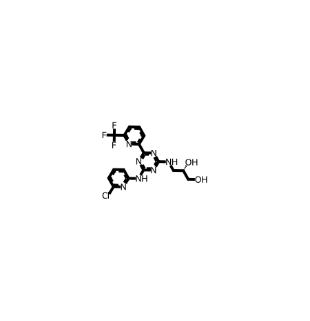 OC[C@@H](O)CNc1nc(Nc2cccc(Cl)n2)nc(-c2cccc(C(F)(F)F)n2)n1